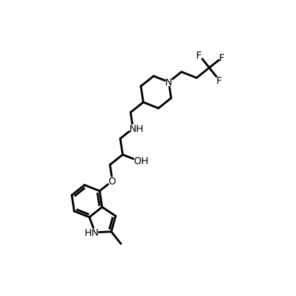 Cc1cc2c(OCC(O)CNCC3CCN(CCC(F)(F)F)CC3)cccc2[nH]1